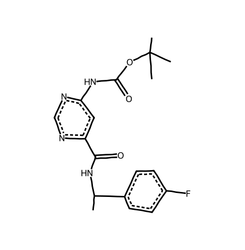 CC(NC(=O)c1cc(NC(=O)OC(C)(C)C)ncn1)c1ccc(F)cc1